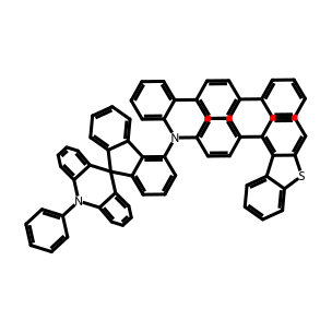 c1ccc(-c2ccc(-c3ccccc3N(c3ccc(-c4cccc5sc6ccccc6c45)cc3)c3cccc4c3-c3ccccc3C43c4ccccc4N(c4ccccc4)c4ccccc43)cc2)cc1